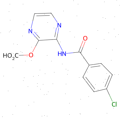 O=C(O)Oc1nccnc1NC(=O)c1ccc(Cl)cc1